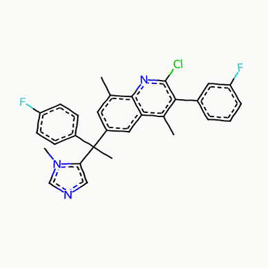 Cc1c(-c2cccc(F)c2)c(Cl)nc2c(C)cc(C(C)(c3ccc(F)cc3)c3cncn3C)cc12